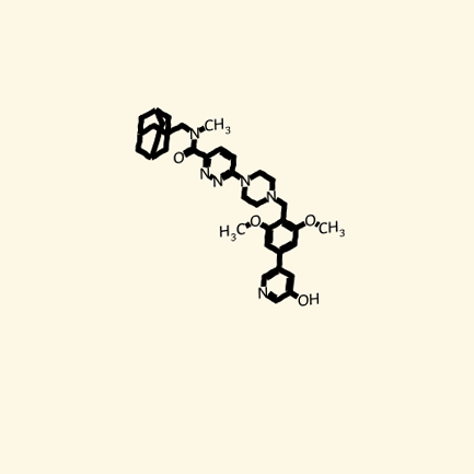 COc1cc(-c2cncc(O)c2)cc(OC)c1CN1CCN(c2ccc(C(=O)N(C)CC34CC5CC(CC(C5)C3)C4)nn2)CC1